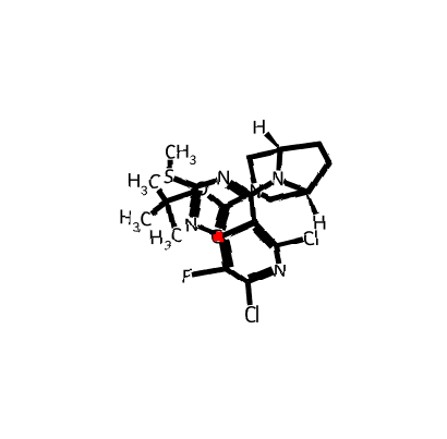 CSc1nc(N2[C@@H]3CC[C@H]2CN(C(=O)OC(C)(C)C)C3)c2c(Cl)nc(Cl)c(F)c2n1